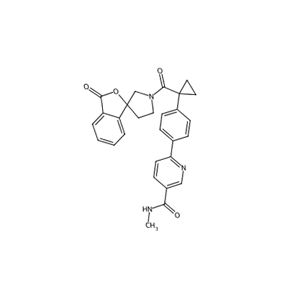 CNC(=O)c1ccc(-c2ccc(C3(C(=O)N4CCC5(C4)OC(=O)c4ccccc45)CC3)cc2)nc1